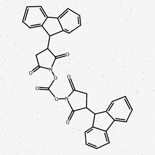 O=C(ON1C(=O)CC(C2c3ccccc3-c3ccccc32)C1=O)ON1C(=O)CC(C2c3ccccc3-c3ccccc32)C1=O